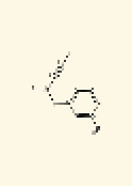 [CH2]C(C#CC)Cc1cccc(F)c1